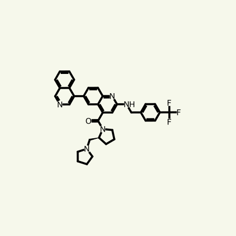 O=C(c1cc(NCc2ccc(C(F)(F)F)cc2)nc2ccc(-c3cncc4ccccc34)cc12)N1CCC[C@H]1CN1CCCC1